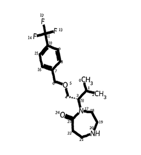 CC(C)[C@@H](COCc1ccc(C(F)(F)F)cc1)N1CCNCCC1=O